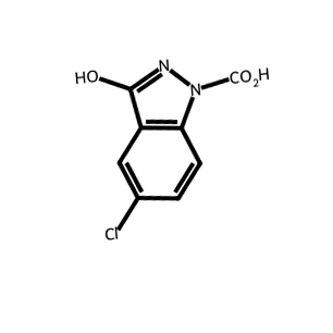 O=C(O)n1nc(O)c2cc(Cl)ccc21